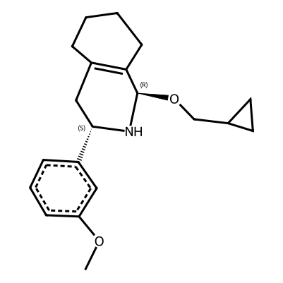 COc1cccc([C@@H]2CC3=C(CCCC3)[C@@H](OCC3CC3)N2)c1